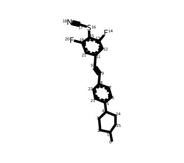 CC1CCC(c2ccc(C#Cc3cc(F)c(SC#N)c(F)c3)cc2)CC1